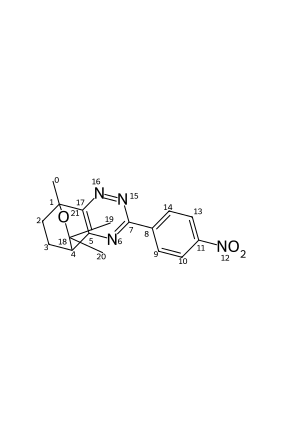 CC12CCC(c3nc(-c4ccc([N+](=O)[O-])cc4)nnc31)C(C)(C)O2